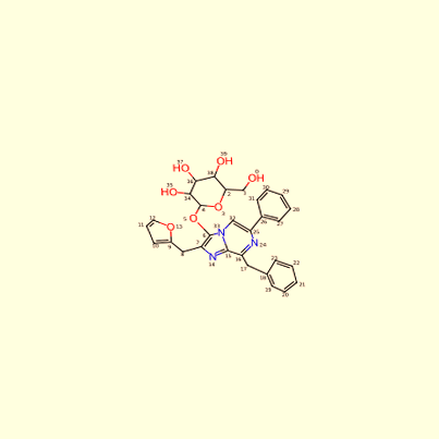 OCC1OC(Oc2c(Cc3ccco3)nc3c(Cc4ccccc4)nc(-c4ccccc4)cn23)C(O)C(O)C1O